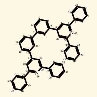 c1ccc(-c2cc(-c3cccc(-c4cccc(-c5cc(-c6ccccc6)nc(-c6ccccc6)c5)c4)c3)cc(-c3ccccc3)n2)cc1